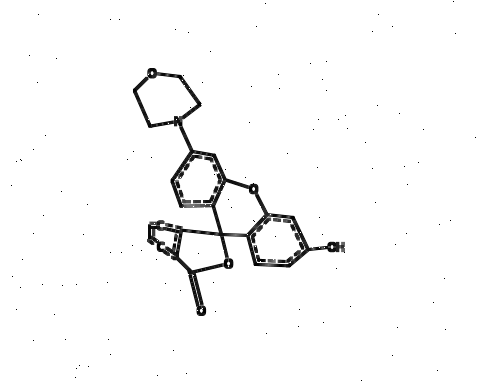 O=C1OC2(c3ccc(O)cc3Oc3cc(N4CCOCC4)ccc32)c2ccccc21